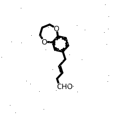 O=[C]CC=CCc1ccc2c(c1)OCCCO2